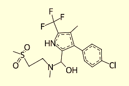 Cc1c(C(F)(F)F)[nH]c(C(O)N(C)CCS(C)(=O)=O)c1-c1ccc(Cl)cc1